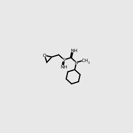 CN(C(=N)S(=N)CC1CO1)C1CCCCC1